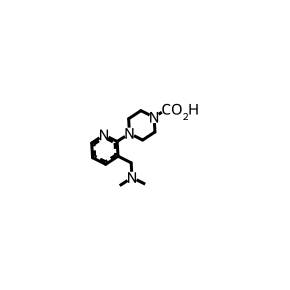 CN(C)Cc1cccnc1N1CCN(C(=O)O)CC1